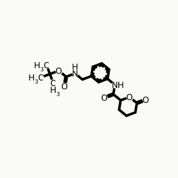 CC(C)(C)OC(=O)NCc1cccc(NC(=O)C2CCCC(=O)O2)c1